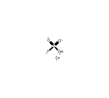 O=S(=O)(O)F.[Ce]